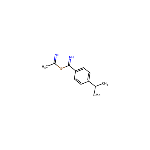 COC(C)c1ccc(C(=N)SC(C)=N)cc1